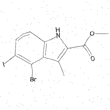 COC(=O)c1[nH]c2ccc(I)c(Br)c2c1C